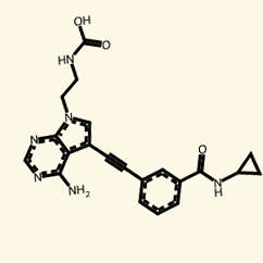 Nc1ncnc2c1c(C#Cc1cccc(C(=O)NC3CC3)c1)cn2CCNC(=O)O